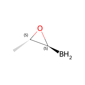 B[C@@H]1O[C@H]1C